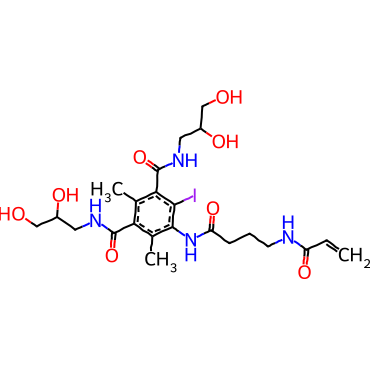 C=CC(=O)NCCCC(=O)Nc1c(C)c(C(=O)NCC(O)CO)c(C)c(C(=O)NCC(O)CO)c1I